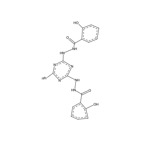 CCCc1nc(NNC(=O)c2ccccc2O)nc(NNC(=O)c2ccccc2O)n1